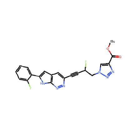 CC(C)(C)OC(=O)c1cn(CC(F)C#Cc2cc3cc(-c4ccccc4F)[nH]c3nn2)nn1